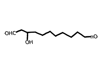 CCCCCCCCCCCCCCCCC(O)C[C]=O